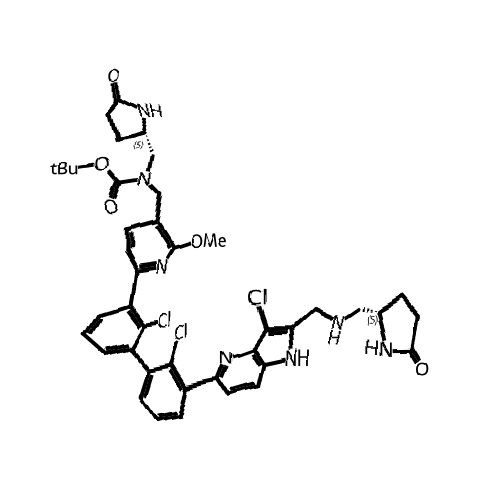 COc1nc(-c2cccc(-c3cccc(-c4ccc5[nH]c(CNC[C@@H]6CCC(=O)N6)c(Cl)c5n4)c3Cl)c2Cl)ccc1CN(C[C@@H]1CCC(=O)N1)C(=O)OC(C)(C)C